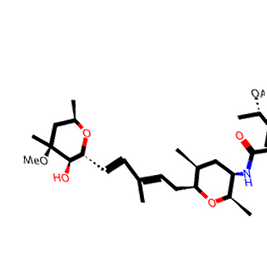 CO[C@@]1(C)C[C@@H](C)O[C@H](/C=C/C(C)=C/C[C@@H]2O[C@H](C)[C@H](NC(=O)/C=C\[C@H](C)OC(C)=O)C[C@@H]2C)[C@H]1O